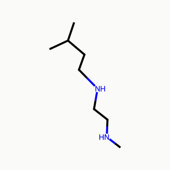 CNCCNCCC(C)C